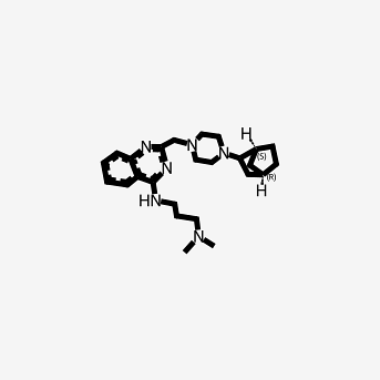 CN(C)CCCNc1nc(CN2CCN(C3C[C@@H]4CC[C@H]3C4)CC2)nc2ccccc12